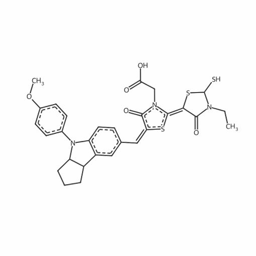 CCN1C(=O)/C(=c2\s/c(=C/c3ccc4c(c3)C3CCCC3N4c3ccc(OC)cc3)c(=O)n2CC(=O)O)SC1S